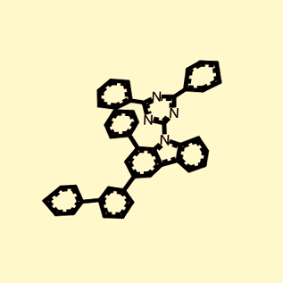 c1ccc(-c2cccc(-c3cc(-c4ccccc4)c4c(c3)c3ccccc3n4-c3nc(-c4ccccc4)nc(-c4ccccc4)n3)c2)cc1